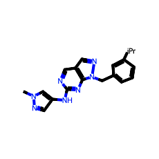 CC(C)c1cccc(Cn2ncc3cnc(Nc4cnn(C)c4)nc32)c1